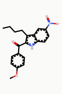 CCCCc1c(C(=O)c2ccc(OC)cc2)[nH]c2ccc([N+](=O)[O-])cc12